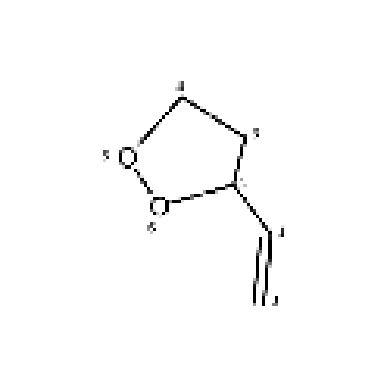 C=CC1CCOO1